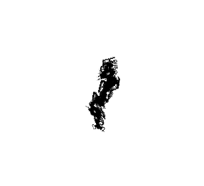 CC(C)COc1ccc(Cc2nc(-c3nc(-c4ccc(OC(F)(F)F)cc4)no3)nn2C)cn1